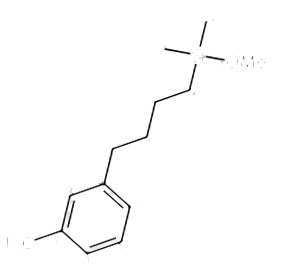 CO[Si](C)(C)CCCCc1cccc(C(F)(F)F)c1